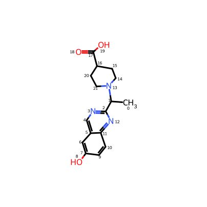 CC(c1ncc2cc(O)ccc2n1)N1CCC(C(=O)O)CC1